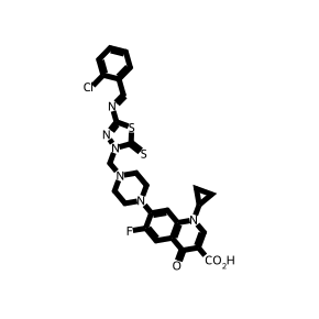 O=C(O)c1cn(C2CC2)c2cc(N3CCN(Cn4nc(N=Cc5ccccc5Cl)sc4=S)CC3)c(F)cc2c1=O